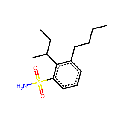 CCCCc1cccc(S(N)(=O)=O)c1C(C)CC